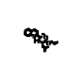 C=CCOC(=O)C(C=C(C)C)NC(=O)c1ccc2ccccc2n1